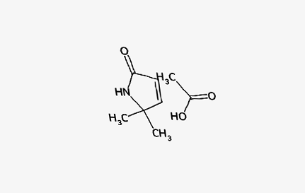 CC(=O)O.CC1(C)C=CC(=O)N1